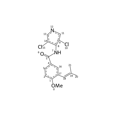 COc1ccc(C(=O)Nc2c(Cl)cncc2Cl)cc1C=C(C)C